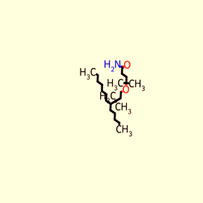 CCCCCCCC(CCCCC)C(C)(C)CCOC(C)(C)CCC(N)=O